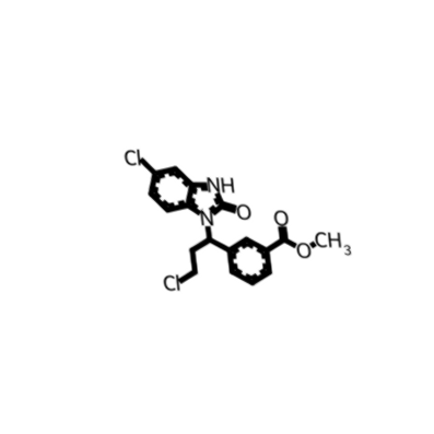 COC(=O)c1cccc(C(CCCl)n2c(=O)[nH]c3cc(Cl)ccc32)c1